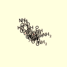 CC[C@H](C)[C@H](NC(=O)[C@@H](Cc1ccccc1)NC)C(=O)N[C@@H](CCCCN)C(=O)N[C@H](CCC(N)=O)C(=O)N[C@@H](C(=O)N[C@H](C(=O)N[C@@H](CO)C(=O)N[C@H]1C(=O)N[C@@H](C)C(=O)N[C@@H](CCCCN)C(=O)N[C@@H]([C@@H](C)CC)C(=O)O[C@H]1C)[C@@H](C)CC)[C@@H](C)CC